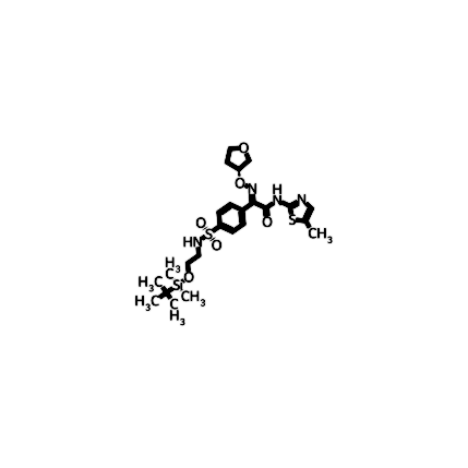 Cc1cnc(NC(=O)/C(=N/O[C@@H]2CCOC2)c2ccc(S(=O)(=O)NCCO[Si](C)(C)C(C)(C)C)cc2)s1